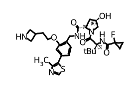 Cc1ncsc1-c1ccc(CNC(=O)[C@@H]2C[C@@H](O)CN2C(=O)[C@@H](NC(=O)C2(F)CC2)C(C)(C)C)c(OCCC2CNC2)c1